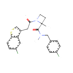 CN(Cc1ccc(Cl)cc1)C(=O)C1(C)CCN1C(=O)Cc1csc2ccc(Cl)cc12